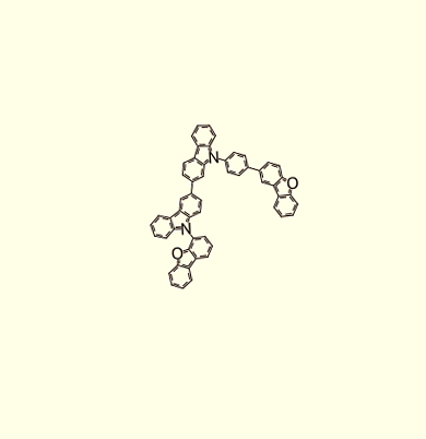 c1ccc2c(c1)oc1ccc(-c3ccc(-n4c5ccccc5c5ccc(-c6ccc7c(c6)c6ccccc6n7-c6cccc7c6oc6ccccc67)cc54)cc3)cc12